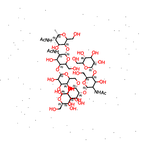 CC(=O)NC1C(O)[C@H](O[C@@H]2OC(CO)[C@H](O)C(O)[C@@H]2O)[C@H](CO)O[C@H]1O[C@@H]1C(O)[C@H](O)C(CO)O[C@@H]1OCC1O[C@@H](O[C@@H]2C(CO)O[C@@H](O[C@@H]3C(CO)O[C@@H](C)[C@@H](NC(C)=O)C3O)[C@@H](NC(C)=O)C2O)C(O)C(O[C@H]2O[C@H](CO)[C@@H](O)C(O)C2O)[C@@H]1O